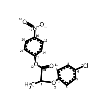 CC(Oc1ccc(Cl)cc1)C(=O)Oc1ccc([N+](=O)[O-])cc1